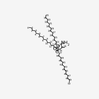 CCCCCCCCCCCCCCO[Si](CC(C)CN)(OCCCCCCCCCCCCCC)OCCCCCCCCCCCCCC